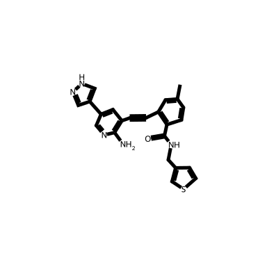 Cc1ccc(C(=O)NCc2ccsc2)c(C#Cc2cc(-c3cn[nH]c3)cnc2N)c1